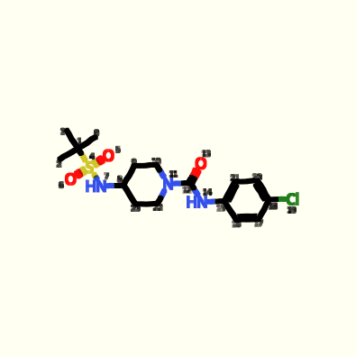 CC(C)(C)S(=O)(=O)NC1CCN(C(=O)Nc2ccc(Cl)cc2)CC1